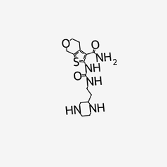 NC(=O)c1c(NC(=O)NCCC2CNCCN2)sc2c1CCOC2